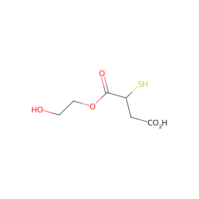 O=C(O)CC(S)C(=O)OCCO